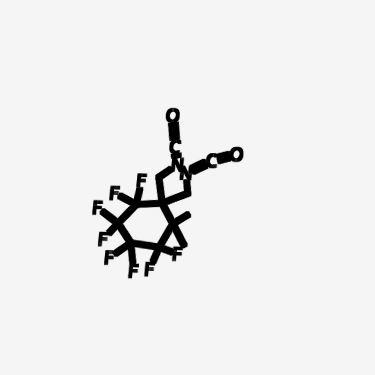 CC1(C)C(F)(F)C(F)(F)C(F)(F)C(F)(F)C1(CN=C=O)CN=C=O